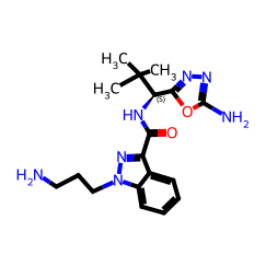 CC(C)(C)[C@H](NC(=O)c1nn(CCCN)c2ccccc12)c1nnc(N)o1